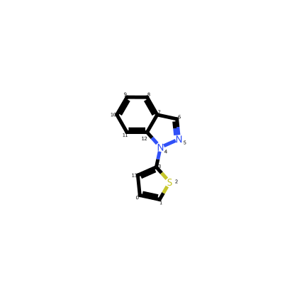 c1csc(-n2ncc3ccccc32)c1